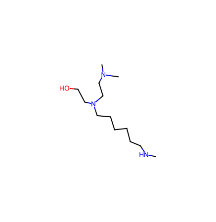 CNCCCCCCN(CCO)CCN(C)C